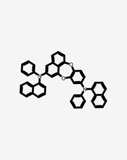 c1ccc(N(c2ccc3c(c2)Oc2cc(N(c4ccccc4)c4cccc5ccccc45)cc4cccc(c24)O3)c2cccc3ccccc23)cc1